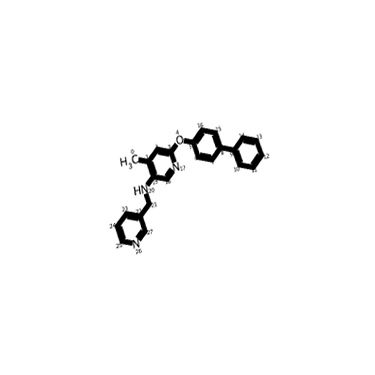 Cc1cc(Oc2ccc(-c3ccccc3)cc2)ncc1NCc1cccnc1